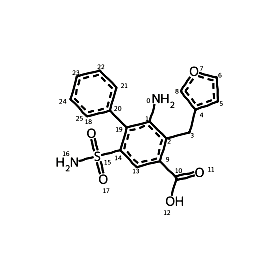 Nc1c(Cc2ccoc2)c(C(=O)O)cc(S(N)(=O)=O)c1-c1ccccc1